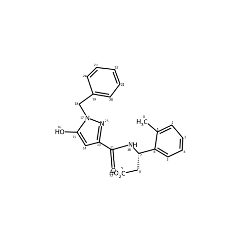 Cc1ccccc1[C@H](CC(=O)O)NC(=O)c1cc(O)n(Cc2ccccc2)n1